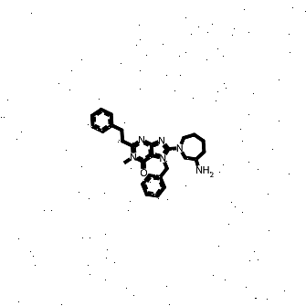 Cn1c(CCc2ccccc2)nc2nc(N3CCCCC(N)C3)n(Cc3ccccc3)c2c1=O